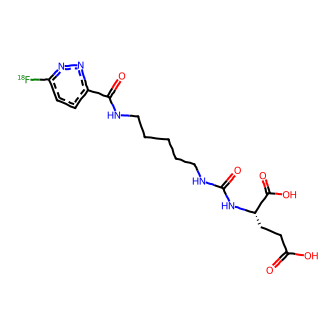 O=C(O)CC[C@H](NC(=O)NCCCCCNC(=O)c1ccc([18F])nn1)C(=O)O